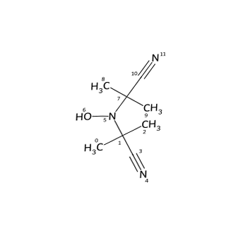 CC(C)(C#N)N(O)C(C)(C)C#N